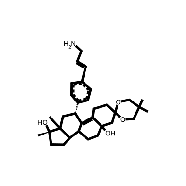 CC1(C)COC2(CCC3=C4C(CCC3(O)C2)C2CC[C@](C)(O)C2(C)C[C@@H]4c2ccc(/C=C/CN)cc2)OC1